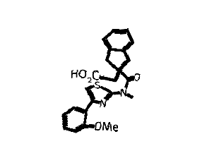 COc1ccccc1-c1csc(N(C)C(=O)C2(CC(=O)O)Cc3ccccc3C2)n1